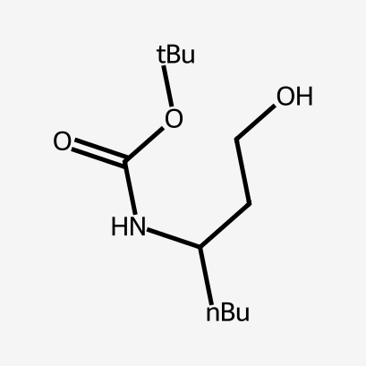 CCCCC(CCO)NC(=O)OC(C)(C)C